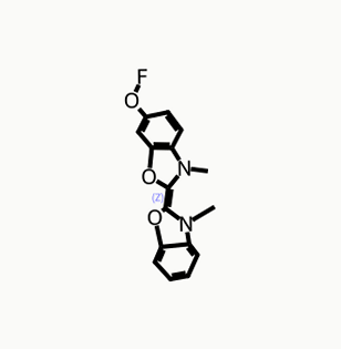 CN1/C(=C2/Oc3cc(OF)ccc3N2C)Oc2ccccc21